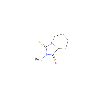 CCCCCN1C(=O)C2CCCCN2C1=S